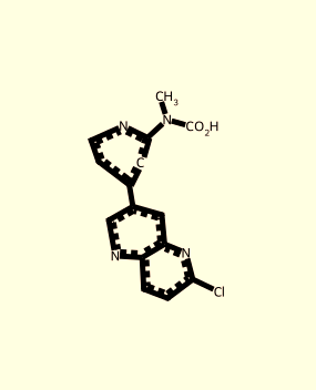 CN(C(=O)O)c1cc(-c2cnc3ccc(Cl)nc3c2)ccn1